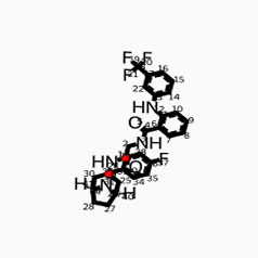 O=C(CNC(=O)c1ccccc1Nc1cccc(C(F)(F)F)c1)N[C@H]1C[C@H]2CC[C@@H](C1)N2Cc1ccc(F)cc1